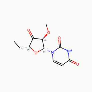 CC[C@H]1O[C@@H](n2ccc(=O)[nH]c2=O)[C@H](OC)C1=O